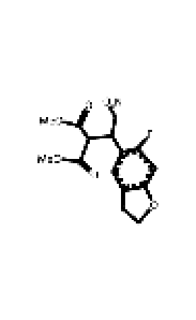 COC(=O)C(C(=O)OC)C(C[N+](=O)[O-])c1cc2c(cc1F)OCC2